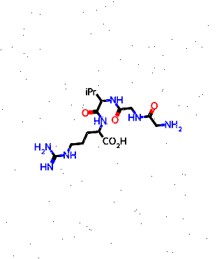 CC(C)C(NC(=O)CNC(=O)CN)C(=O)NC(CCCNC(=N)N)C(=O)O